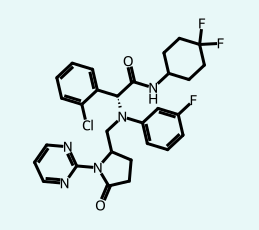 O=C(NC1CCC(F)(F)CC1)[C@@H](c1ccccc1Cl)N(CC1CCC(=O)N1c1ncccn1)c1cccc(F)c1